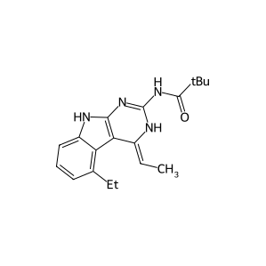 CC=C1NC(NC(=O)C(C)(C)C)=Nc2[nH]c3cccc(CC)c3c21